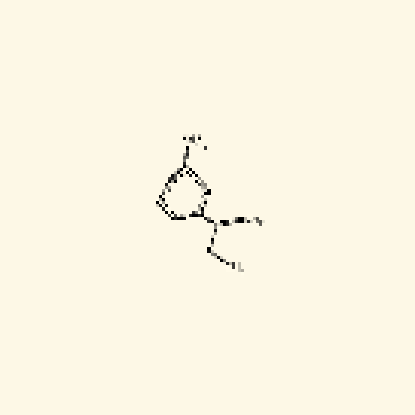 C=C(CC)c1cccc(N)c1